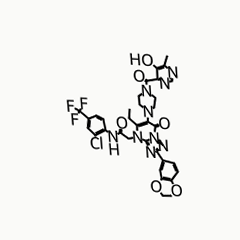 CCc1c(N2CCN(C(=O)c3ncnc(C)c3O)CC2)c(=O)n2nc(-c3ccc4c(c3)OCCO4)nc2n1CC(=O)Nc1ccc(C(F)(F)F)cc1Cl